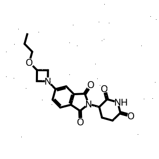 CCCOC1CN(c2ccc3c(c2)C(=O)N(C2CCC(=O)NC2=O)C3=O)C1